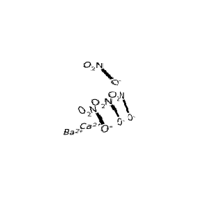 O=[N+]([O-])[O-].O=[N+]([O-])[O-].O=[N+]([O-])[O-].O=[N+]([O-])[O-].[Ba+2].[Ca+2]